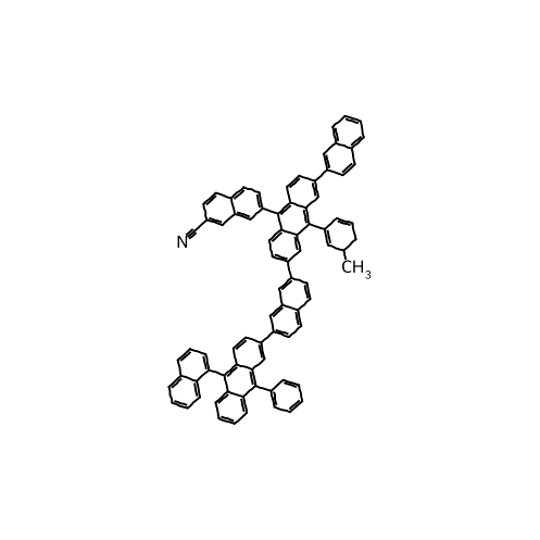 CC1C=C(c2c3cc(-c4ccc5ccccc5c4)ccc3c(-c3ccc4ccc(C#N)cc4c3)c3ccc(-c4ccc5ccc(-c6ccc7c(-c8cccc9ccccc89)c8ccccc8c(-c8ccccc8)c7c6)cc5c4)cc23)C=CC1